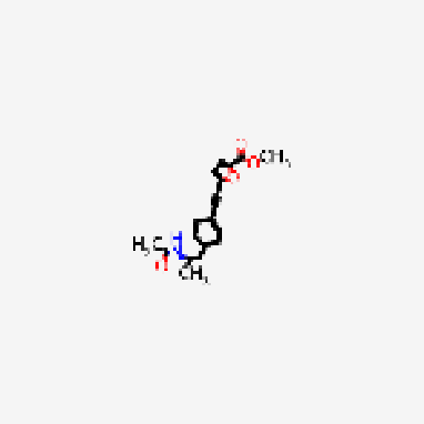 COC(=O)c1ccc(C#Cc2ccc(CC(C)NC(C)=O)cc2)o1